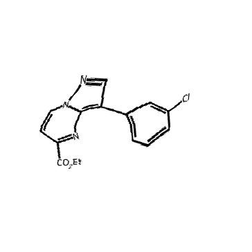 CCOC(=O)c1ccn2ncc(-c3cccc(Cl)c3)c2n1